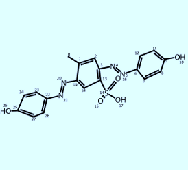 Cc1cc(N=Nc2ccc(O)cc2)c(S(=O)(=O)O)cc1N=Nc1ccc(O)cc1